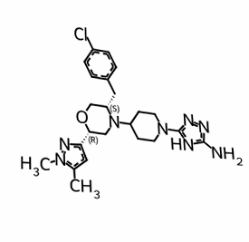 Cc1cc([C@H]2CN(C3CCN(c4nnc(N)[nH]4)CC3)[C@@H](Cc3ccc(Cl)cc3)CO2)nn1C